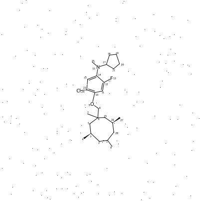 CC1C[C@@H](C)CC(C)(COc2cc(F)c(N(C)C3CCCC3)cc2Cl)C[C@@H](C)C1